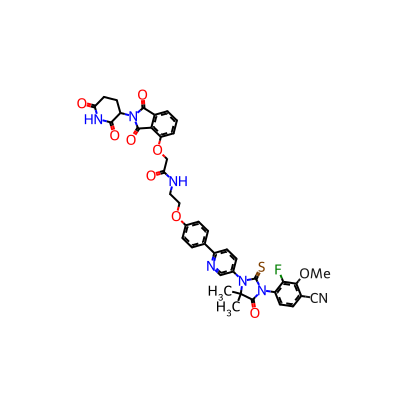 COc1c(C#N)ccc(N2C(=O)C(C)(C)N(c3ccc(-c4ccc(OCCNC(=O)COc5cccc6c5C(=O)N(C5CCC(=O)NC5=O)C6=O)cc4)nc3)C2=S)c1F